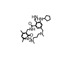 Cc1cc(C)c(CNC(=O)c2cc(CN(C)CCCN(C)C)cc(NC3CCCC3)c2C=N)c(=O)[nH]1